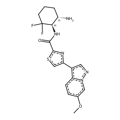 COc1ccc2c(-c3csc(C(=O)N[C@@H]4[C@@H](N)CCCC4(F)F)n3)cnn2c1